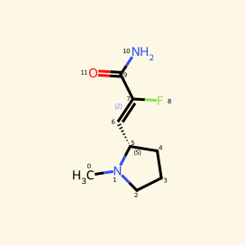 CN1CCC[C@H]1/C=C(\F)C(N)=O